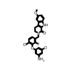 COc1ccc2[nH]c3c(c2c1)CCN(Cc1ccc(Cl)c(Oc2cc(N)cc(Cl)c2)c1F)C3=O